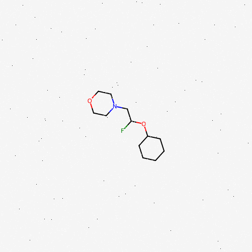 FC(CN1CCOCC1)OC1CCCCC1